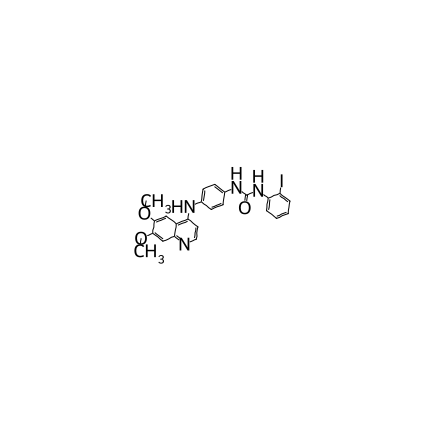 COc1cc2nccc(Nc3ccc(NC(=O)Nc4ccccc4I)cc3)c2cc1OC